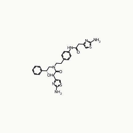 Nc1nc(CC(=O)Nc2ccc(CCN(C[C@H](O)c3ccccc3)C(=O)Cc3csc(N)n3)cc2)cs1